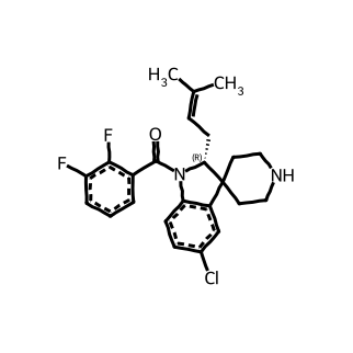 CC(C)=CC[C@H]1N(C(=O)c2cccc(F)c2F)c2ccc(Cl)cc2C12CCNCC2